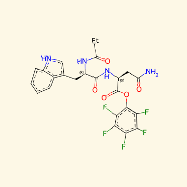 CCC(=O)N[C@H](Cc1c[nH]c2ccccc12)C(=O)N[C@@H](CC(N)=O)C(=O)Oc1c(F)c(F)c(F)c(F)c1F